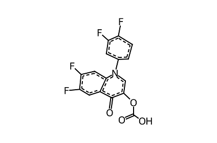 O=C(O)Oc1cn(-c2ccc(F)c(F)c2)c2cc(F)c(F)cc2c1=O